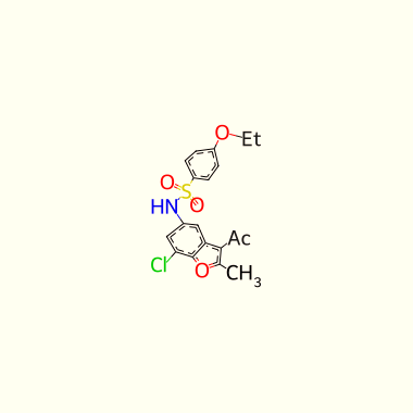 CCOc1ccc(S(=O)(=O)Nc2cc(Cl)c3oc(C)c(C(C)=O)c3c2)cc1